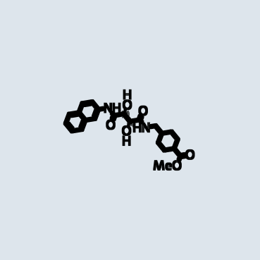 COC(=O)C1CCC(CNC(=O)[C@H](O)[C@@H](O)C(=O)Nc2ccc3ccccc3c2)CC1